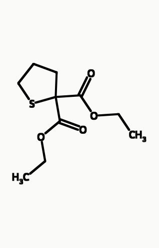 CCOC(=O)C1(C(=O)OCC)CCCS1